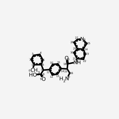 Cc1ccccc1C(C(=O)O)c1ccc(C(CN)C(=O)Nc2ccc3cnccc3c2)cc1